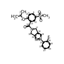 CC(C)Oc1ccc(S(C)(=O)=O)cc1C(=O)N1Cc2cn(-c3ccccc3F)nc2C1